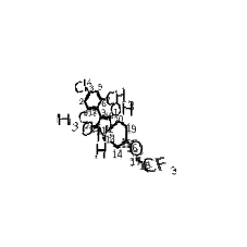 Cc1cc(Cl)cc(C)c1C1=C(O)[C@]2(CC[C@H](OCC(F)(F)F)CC2)NC1=O